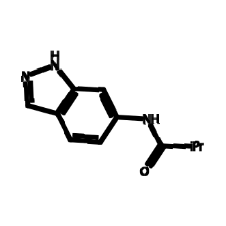 CC(C)C(=O)Nc1ccc2cn[nH]c2c1